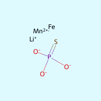 [Fe].[Li+].[Mn+2].[O-]P([O-])([O-])=S